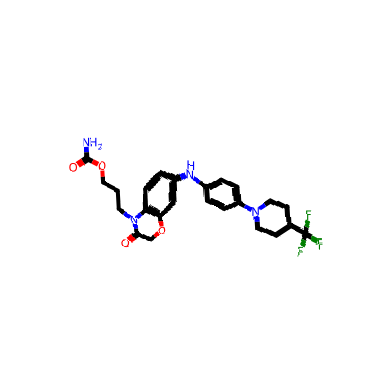 NC(=O)OCCCN1C(=O)COc2cc(Nc3ccc(N4CCC(C(F)(F)F)CC4)cc3)ccc21